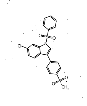 CS(=O)(=O)c1ccc(-c2[c]n(S(=O)(=O)c3ccccc3)c3cc(Cl)ccc23)cc1